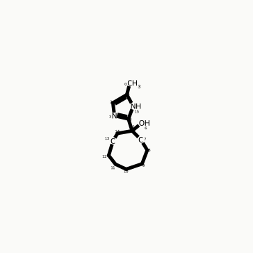 Cc1cnc(C2(O)CCCCCCCC2)[nH]1